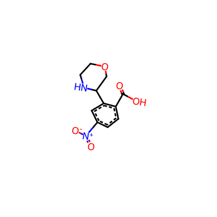 O=C(O)c1ccc([N+](=O)[O-])cc1C1COCCN1